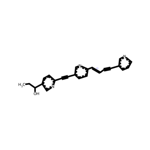 CCC(O)c1ccc(C#Cc2ccc(/C=C/C#Cc3cccnc3)nc2)nc1